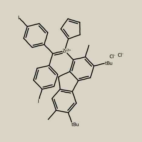 Cc1cc2c(cc1C(C)(C)C)-c1cc(C(C)(C)C)c(C)[c]([Zr+2]([C]3=CC=CC3)=[C](c3ccc(I)cc3)c3ccc(I)cc3)c1C2.[Cl-].[Cl-]